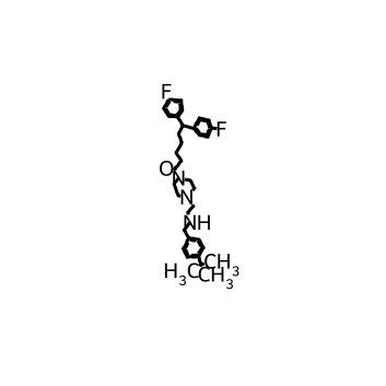 CC(C)(C)c1ccc(CNCCN2CCN(C(=O)CCCCC(c3ccc(F)cc3)c3ccc(F)cc3)CC2)cc1